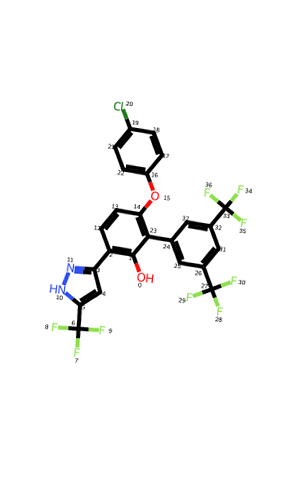 Oc1c(-c2cc(C(F)(F)F)[nH]n2)ccc(Oc2ccc(Cl)cc2)c1-c1cc(C(F)(F)F)cc(C(F)(F)F)c1